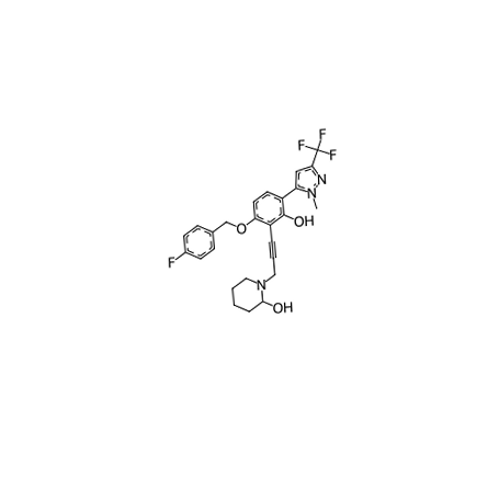 Cn1nc(C(F)(F)F)cc1-c1ccc(OCc2ccc(F)cc2)c(C#CCN2CCCCC2O)c1O